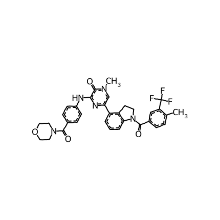 Cc1ccc(C(=O)N2CCc3c(-c4cn(C)c(=O)c(Nc5ccc(C(=O)N6CCOCC6)cc5)n4)cccc32)cc1C(F)(F)F